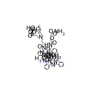 C[Si](C)(CCCNC(=O)CCCN(CCCS(=O)(=O)O)CCCS(=O)(=O)ON)O[Si]1(O[Si](C)(C)CCCNC(=O)COCC(=O)ON)n2c3c4ccccc4c2/N=C2N=C(/N=c4/c5ccccc5/c(n41)=N/C1=NC(=N\3)/c3ccccc31)c1ccccc1\2